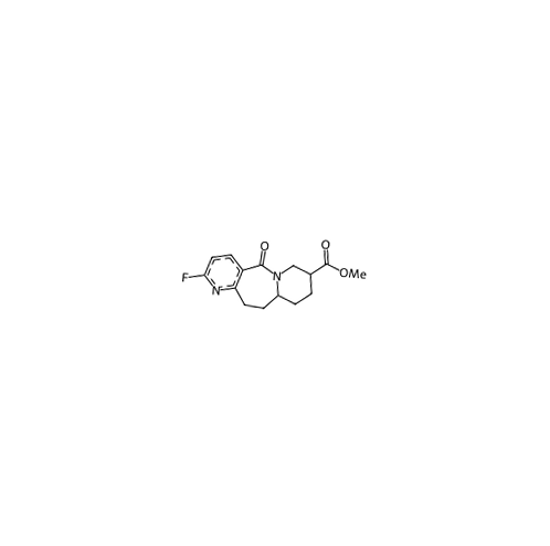 COC(=O)C1CCC2CCc3nc(F)ccc3C(=O)N2C1